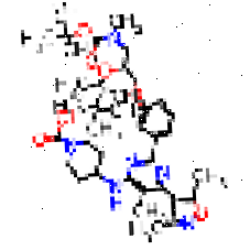 Cc1noc(C)c1-c1nc(-c2cccc(OCC(CN(C)C(=O)OC(C)(C)C)O[Si](C)(C)C(C)(C)C)c2)nc(NC2CCN(C(=O)O)CC2)c1C